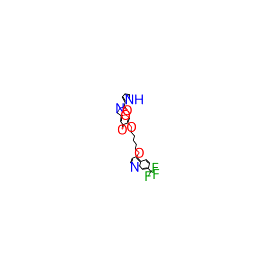 CN(Cc1cc(=O)c(OCCCCCOc2ccnc3cc(C(F)(F)F)ccc23)co1)C(=O)c1ccc[nH]1